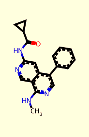 CNc1ncc(-c2ccccc2)c2cc(NC(=O)C3CC3)ncc12